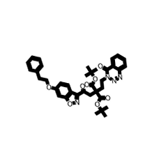 CC(C)(C)OC(=O)C(CCn1nnc2ccccc2c1=O)(CC(=O)c1noc2cc(OCCc3ccccc3)ccc12)C(=O)OC(C)(C)C